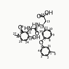 Cc1cccc(Oc2cccc([C@H](CC(=O)O)NC(=O)Nc3c(O)ccn(C)c3=O)c2)c1